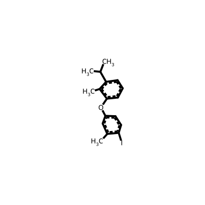 Cc1cc(Oc2cccc(C(C)C)c2C)ccc1I